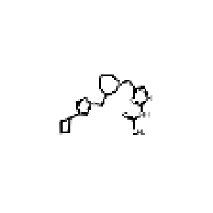 CC(=O)Nc1ncc(CN2CCCC(Cn3cc(C4CCC4)cn3)C2)s1